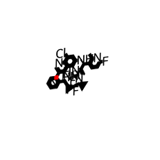 Cc1nc(F)ccc1[C@H](Nc1cc(Cl)c2ncc(C#N)c(N[C@@H](c3ccccc3)C3CC3)c2c1)C1=CN(C2(C(F)(F)F)CC2)NN1